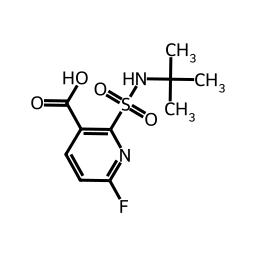 CC(C)(C)NS(=O)(=O)c1nc(F)ccc1C(=O)O